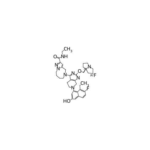 CCNC(=O)c1cc2n(n1)CCCCN(c1nc(OC[C@@]34CCCN3C[C@H](F)C4)nc3c1CCN(c1cc(O)cc4ccc(F)c(CC)c14)C3)C2